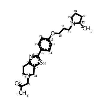 CC(=O)CN1CCc2nc(-c3ccc(OCCCN4CCC[C@H]4C)cc3)sc2C1